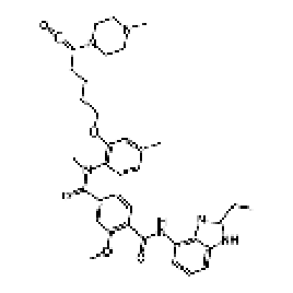 CCc1nc2c(NC(=O)c3ccc(C(=O)N(C)c4ccc(C)cc4OCCCCC(=C=O)N4CCN(C)CC4)cc3OC)cccc2[nH]1